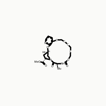 COC(=O)[C@@H]1C[C@@H]2CN1C(=O)[C@H](C(C)(C)C)NC(=O)OCCCCCCCc1cccnc1O2